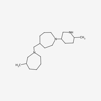 CC1CCCCN(CC2CCCN(C3CCC(C)NC3)CC2)C1